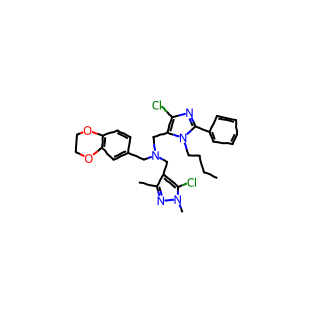 CCCCn1c(-c2ccccc2)nc(Cl)c1CN(Cc1ccc2c(c1)OCCO2)Cc1c(C)nn(C)c1Cl